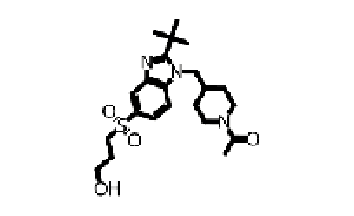 CC(=O)N1CCC(Cn2c(C(C)(C)C)nc3cc(S(=O)(=O)CCCO)ccc32)CC1